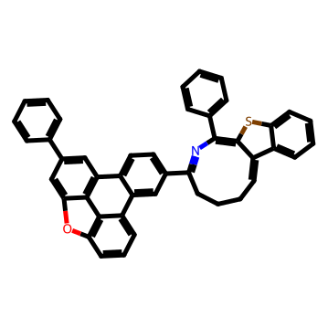 C1=c2/c(sc3ccccc23)=C(c2ccccc2)\N=C(\c2ccc3c(c2)c2cccc4oc5cc(-c6ccccc6)cc3c5c42)CCC\1